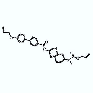 C=CCOC(=O)[C@@H](C)c1ccc2cc(OC(=O)c3ccc(-c4ccc(OCC=C)cc4)cc3)ccc2c1